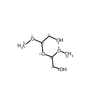 COC(CO)OC(CO)OC